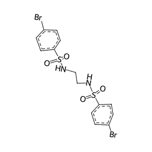 O=S(=O)(NCCNS(=O)(=O)c1ccc(Br)cc1)c1ccc(Br)cc1